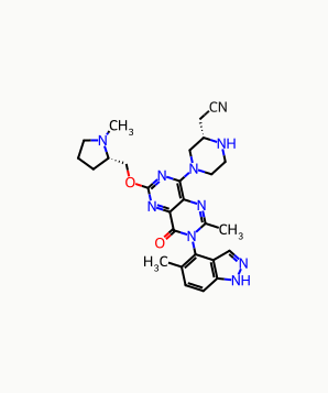 Cc1ccc2[nH]ncc2c1-n1c(C)nc2c(N3CCN[C@@H](CC#N)C3)nc(OC[C@@H]3CCCN3C)nc2c1=O